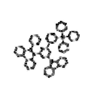 c1ccc(B2c3ccccc3-c3ccccc3N2c2cc(-n3c4ccccc4c4ccccc43)cc(-c3cccc([Si](c4ccccc4)(c4ccccc4)c4ccccc4)c3)n2)cc1